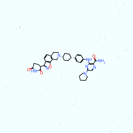 NC(=O)c1ncc(N2CCCCC2)nc1Nc1ccc([C@H]2CC[C@@H](N3CCc4ccc5c(C6CCC(=O)NC6=O)noc5c4C3)CC2)cc1